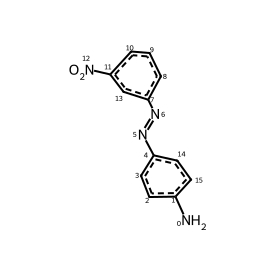 Nc1ccc(N=Nc2cccc([N+](=O)[O-])c2)cc1